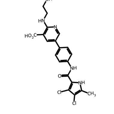 Cc1[nH]c(C(=O)Nc2ccc(-c3cnc(NCCO)c(C(=O)O)c3)cc2)c(Cl)c1Cl